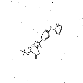 C=C(Cc1nc(-c2ccc(Oc3ccccn3)cc2)no1)C(=O)OC(C)(C)C